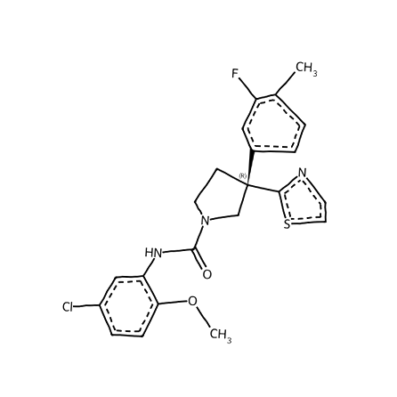 COc1ccc(Cl)cc1NC(=O)N1CC[C@](c2ccc(C)c(F)c2)(c2nccs2)C1